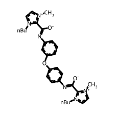 CCCCn1cc[n+](C)c1/C([O-])=N/c1ccc(Oc2cccc(/N=C(\[O-])c3n(CCCC)cc[n+]3C)c2)cc1